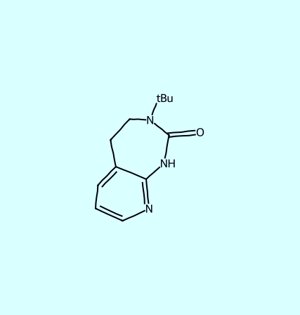 CC(C)(C)N1CCc2cccnc2NC1=O